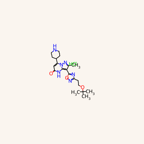 Cc1nn2c(C3CCNCC3)cc(=O)[nH]c2c1-c1nc(CCOC(C)(C)C)no1.Cl